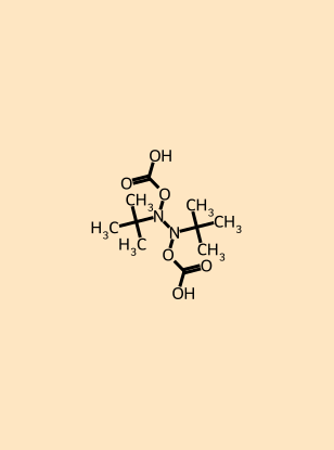 CC(C)(C)N(OC(=O)O)N(OC(=O)O)C(C)(C)C